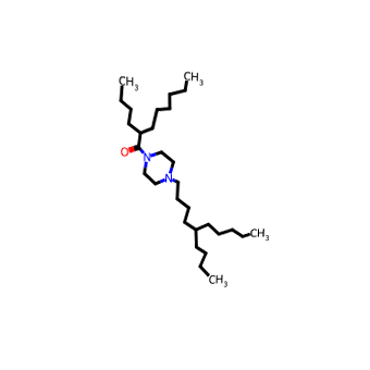 CCCCCCC(CCCC)C(=O)N1CCN(CCCCC(CCCC)CCCCC)CC1